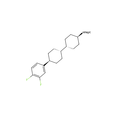 CCCCCCC[C@H]1CC[C@H]([C@H]2CC[C@H](c3ccc(F)c(F)c3)CC2)CC1